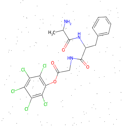 CC(N)C(=O)NC(Cc1ccccc1)C(=O)NCC(=O)Oc1c(Cl)c(Cl)c(Cl)c(Cl)c1Cl